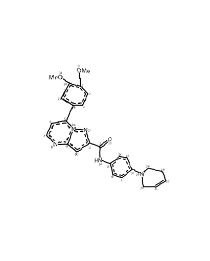 COc1ccc(-c2ccnc3cc(C(=O)Nc4ccc(N5CC=CCC5)cc4)nn23)cc1OC